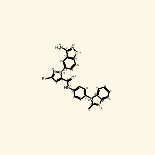 CCc1cc(C(=O)Nc2ccc(-n3c(C)nc4ccccc43)cc2)n(-c2ccc3onc(N)c3c2)n1